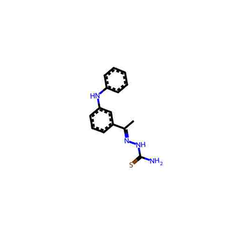 C/C(=N\NC(N)=S)c1cccc(Nc2ccccc2)c1